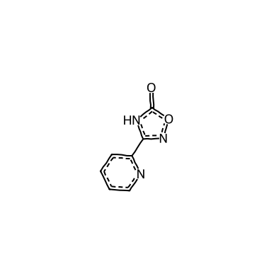 O=c1[nH]c(-c2ccccn2)no1